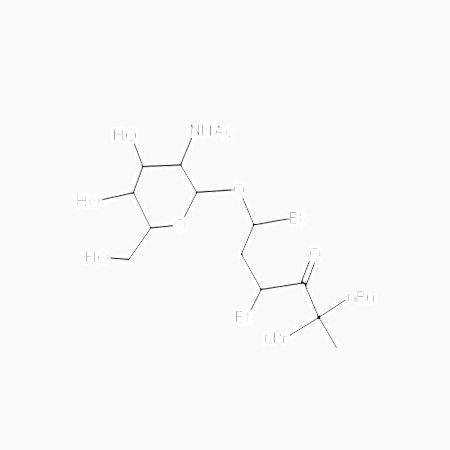 CCCCC(C)(CCC)C(=O)C(CC)CC(CC)OC1OC(CO)C(O)C(O)C1NC(C)=O